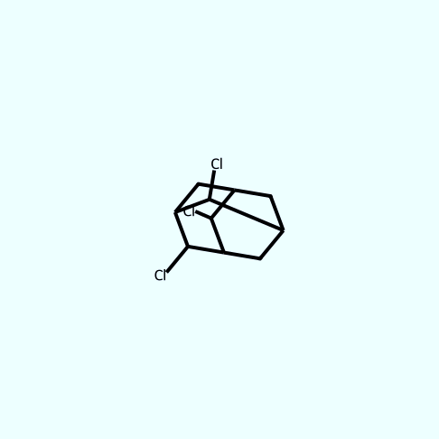 ClC1C2CC3CC1C(Cl)C(C2)C3Cl